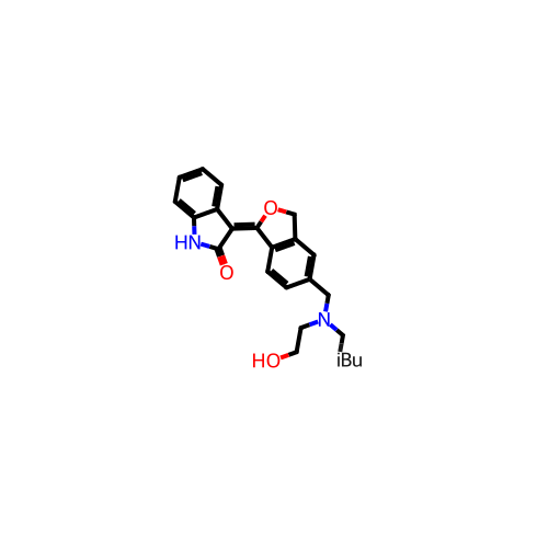 CCC(C)CN(CCO)Cc1ccc2c(c1)COC2=C1C(=O)Nc2ccccc21